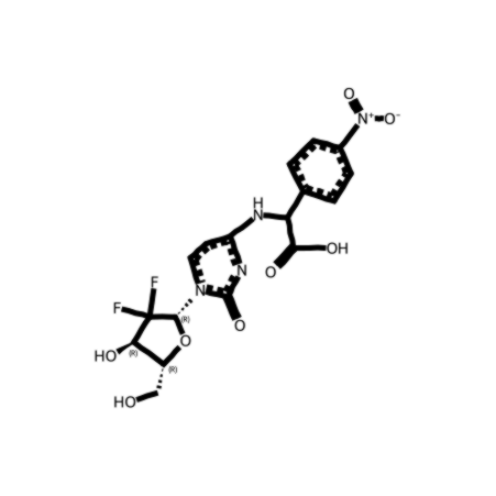 O=C(O)C(Nc1ccn([C@@H]2O[C@H](CO)[C@@H](O)C2(F)F)c(=O)n1)c1ccc([N+](=O)[O-])cc1